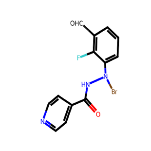 O=Cc1cccc(N(Br)NC(=O)c2ccncc2)c1F